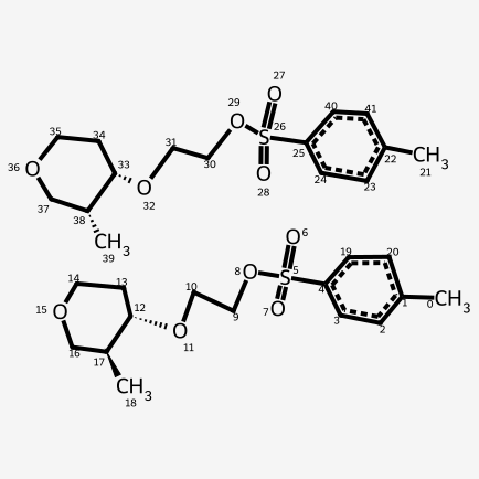 Cc1ccc(S(=O)(=O)OCCO[C@H]2CCOC[C@@H]2C)cc1.Cc1ccc(S(=O)(=O)OCCO[C@H]2CCOC[C@H]2C)cc1